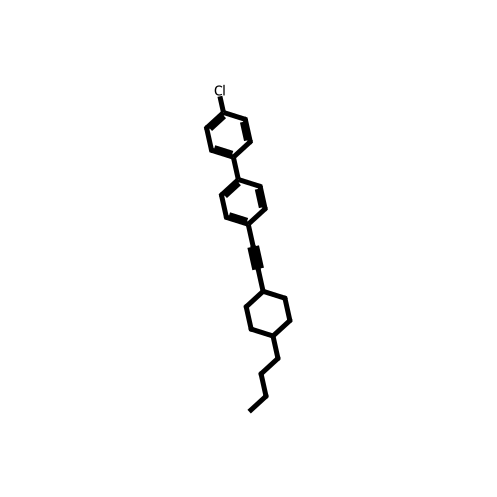 CCCCC1CCC(C#Cc2ccc(-c3ccc(Cl)cc3)cc2)CC1